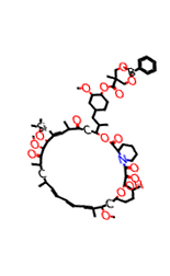 COC1CC2CCC(C)C(O)(O2)C(=O)C(=O)N2CCCCC2C(=O)OC(C(C)CC2CCC(OC(=O)C3(C)COB(c4ccccc4)OC3)C(OC)C2)CC(=O)C(C)/C=C(\C)C(O[Si](C)(C)C)C(OC)C(=O)C(C)CC(C)/C=C/C=C/C=C/1C